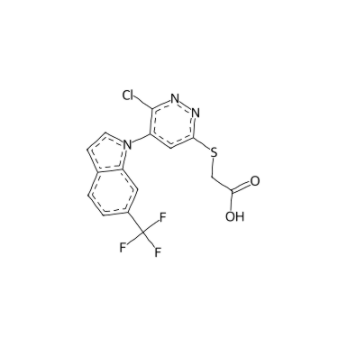 O=C(O)CSc1cc(-n2ccc3ccc(C(F)(F)F)cc32)c(Cl)nn1